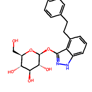 OC[C@H]1O[C@@H](Oc2n[nH]c3cccc(CCc4ccccc4)c23)[C@H](O)[C@@H](O)[C@@H]1O